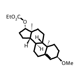 CCOC(=O)O[C@H]1CC[C@H]2[C@@H]3CCC4=C[C@H](OC)CC[C@]4(C)[C@H]3CC[C@]12C